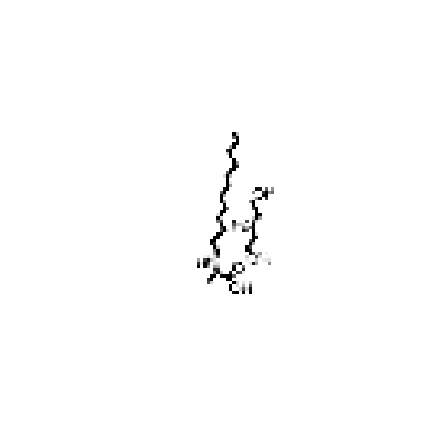 CCCCCCCCCCCCNC(C)C(=O)O.OCCNCCO